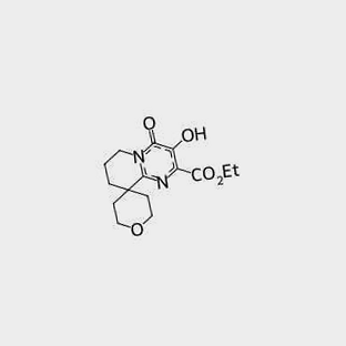 CCOC(=O)c1nc2n(c(=O)c1O)CCCC21CCOCC1